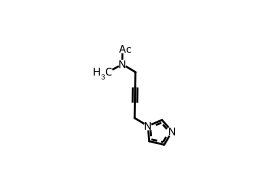 CC(=O)N(C)CC#CCn1ccnc1